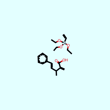 C=C(C(=O)O)C(C)C=Cc1ccccc1.C=C[Si](OCC)(OCC)OCC